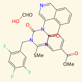 COC(=O)c1cccc(-c2cccc3cncc(-n4c(=O)nc(SC)n(Cc5cc(F)c(F)cc5F)c4=O)c23)c1.O=CO